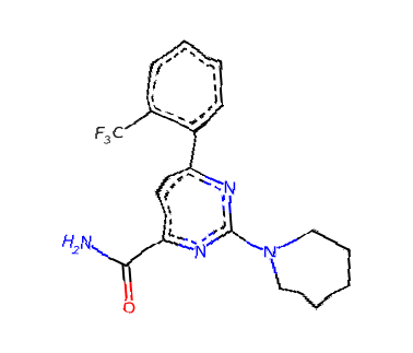 NC(=O)c1cc(-c2ccccc2C(F)(F)F)nc(N2CCCCC2)n1